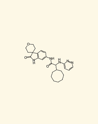 O=C(Nc1ccc2c(c1)NC(=O)C21CCOCC1)C(Nc1cccnn1)C1CCCCCCC1